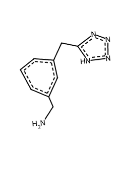 NCc1cccc(Cc2nnn[nH]2)c1